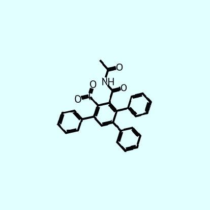 CC(=O)NC(=O)c1c(-c2ccccc2)c(-c2ccccc2)cc(-c2ccccc2)c1I(=O)=O